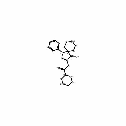 O=C(CN1CN(c2ccccc2)C2(CCNCC2)C1=O)C1CNCCO1